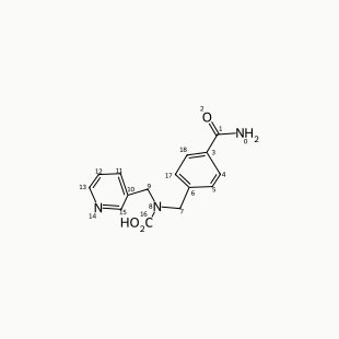 NC(=O)c1ccc(CN(Cc2cccnc2)C(=O)O)cc1